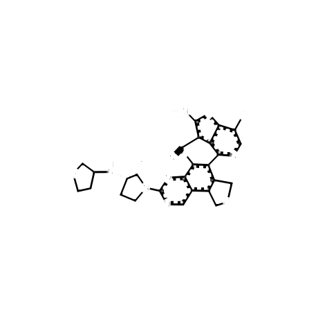 C[C@H]1[C@@H](NC2CCOC2)CCN1c1ncc2c3c(c(-c4ncc(F)c5sc(N)c(C#N)c45)c(F)c2n1)COC3